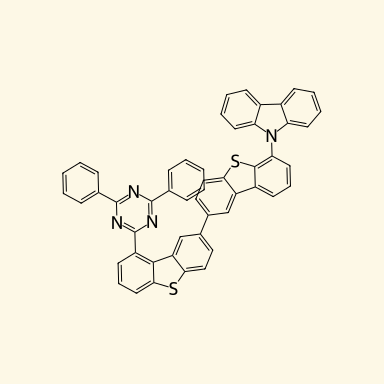 c1ccc(-c2nc(-c3ccccc3)nc(-c3cccc4sc5ccc(-c6ccc7sc8c(-n9c%10ccccc%10c%10ccccc%109)cccc8c7c6)cc5c34)n2)cc1